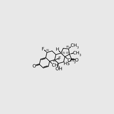 C[C@@H]1C[C@H]2C3C[C@H](F)C4=CC(=O)C=CC4(C)[C@@]3(F)C(O)CC2(C)[C@@]1(C)C(=O)S